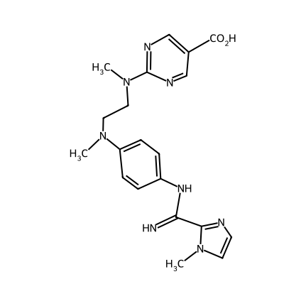 CN(CCN(C)c1ncc(C(=O)O)cn1)c1ccc(NC(=N)c2nccn2C)cc1